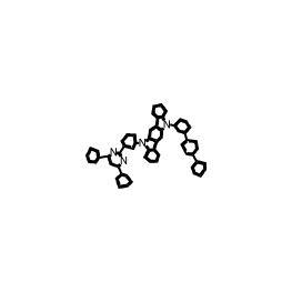 c1ccc(-c2ccc(-c3cccc(-n4c5ccccc5c5cc6c(cc54)c4ccccc4n6-c4cccc(-c5nc(-c6ccccc6)cc(-c6ccccc6)n5)c4)c3)cc2)cc1